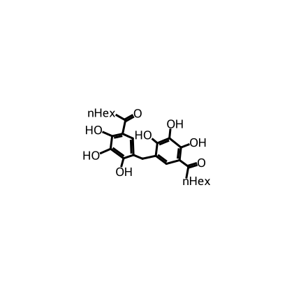 CCCCCCC(=O)c1cc(Cc2cc(C(=O)CCCCCC)c(O)c(O)c2O)c(O)c(O)c1O